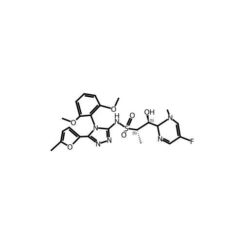 COc1cccc(OC)c1-n1c(NS(=O)(=O)[C@@H](C)[C@@H](O)C2N=CC(F)=CN2C)nnc1-c1ccc(C)o1